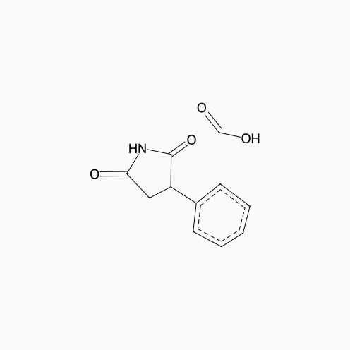 O=C1CC(c2ccccc2)C(=O)N1.O=CO